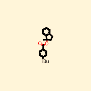 CCC(C)c1ccc(C(=O)OC2(C)CCc3ccccc32)cc1